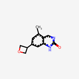 Cc1cc(C2COC2)cc2[nH]c(=O)ncc12